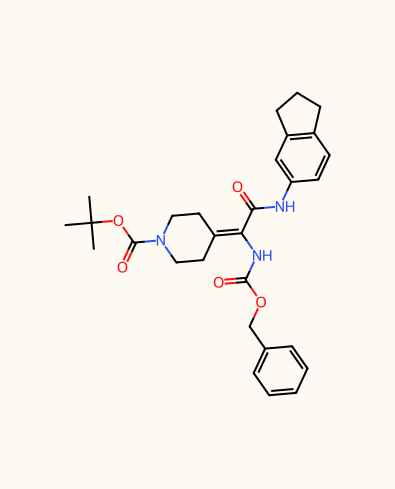 CC(C)(C)OC(=O)N1CCC(=C(NC(=O)OCc2ccccc2)C(=O)Nc2ccc3c(c2)CCC3)CC1